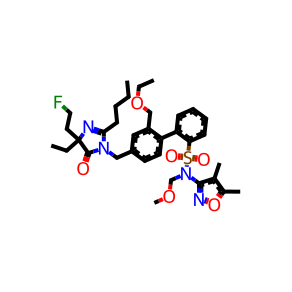 CCCCC1=NC(CC)(CCF)C(=O)N1Cc1ccc(-c2ccccc2S(=O)(=O)N(COC)c2noc(C)c2C)c(COCC)c1